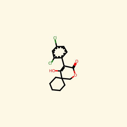 O=C1OCC2(CCCCC2)C(O)=C1c1ccc(Cl)cc1Cl